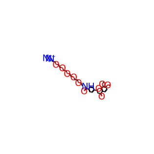 COc1ccc2c(c1OC)OC(c1ccc(C(=O)NCCOCCOCCOCCOCCOCCN=[N+]=[N-])cc1)CC2=O